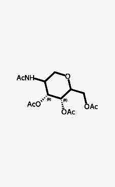 CC(=O)NC1COC(COC(C)=O)[C@H](OC(C)=O)[C@@H]1OC(C)=O